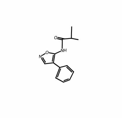 CC(C)C(=O)Nc1oncc1-c1ccccc1